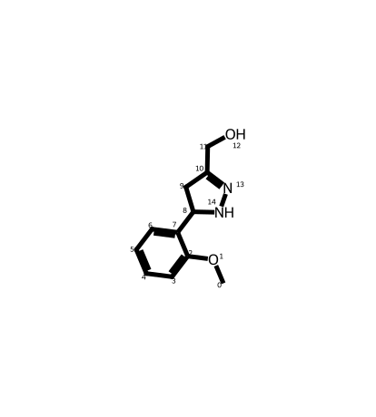 COc1ccccc1C1CC(CO)=NN1